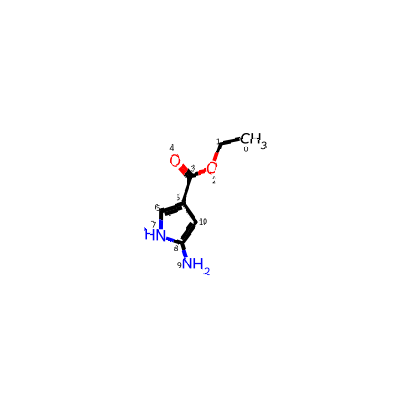 CCOC(=O)c1c[nH]c(N)c1